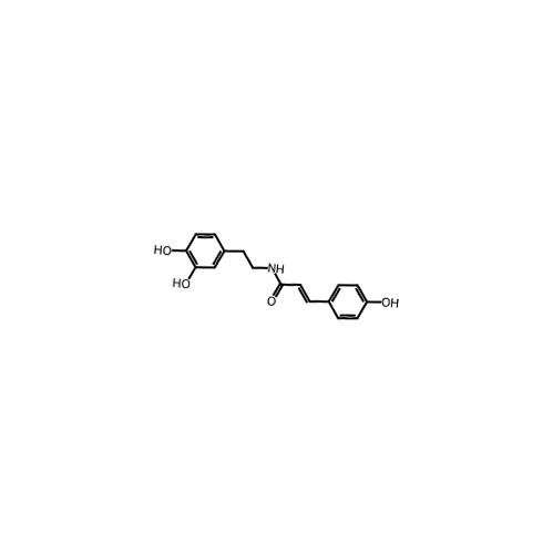 O=C(C=Cc1ccc(O)cc1)NCCc1ccc(O)c(O)c1